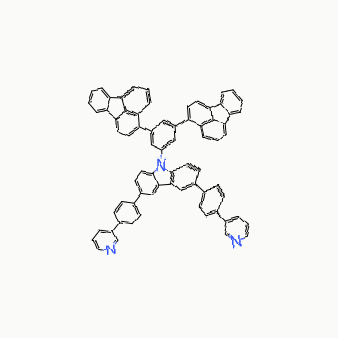 c1cncc(-c2ccc(-c3ccc4c(c3)c3cc(-c5ccc(-c6cccnc6)cc5)ccc3n4-c3cc(-c4ccc5c6c(cccc46)-c4ccccc4-5)cc(-c4ccc5c6c(cccc46)-c4ccccc4-5)c3)cc2)c1